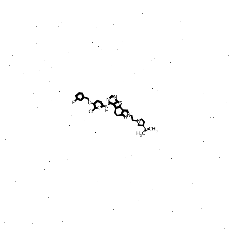 CN(C)[C@@H]1CCN(CCn2cc3c(n2)CCc2c-3sc3ncnc(Nc4ccc(OCc5cccc(F)c5)c(Cl)c4)c23)C1